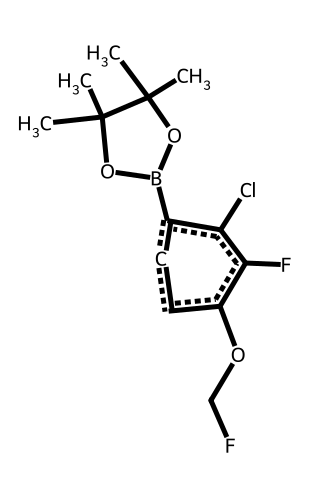 CC1(C)OB(c2ccc(OCF)c(F)c2Cl)OC1(C)C